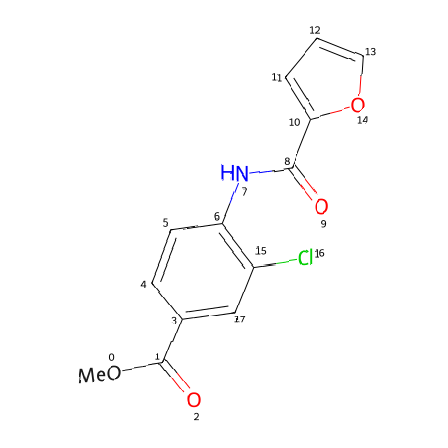 COC(=O)c1ccc(NC(=O)c2ccco2)c(Cl)c1